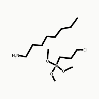 CCCCCCCCN.CO[Si](CCCCl)(OC)OC